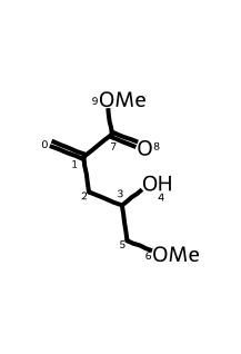 C=C(CC(O)COC)C(=O)OC